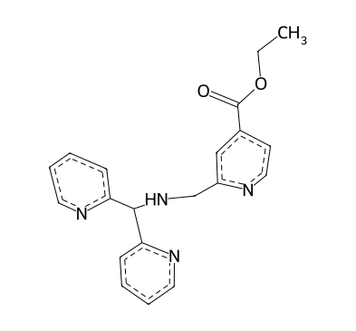 CCOC(=O)c1ccnc(CNC(c2ccccn2)c2ccccn2)c1